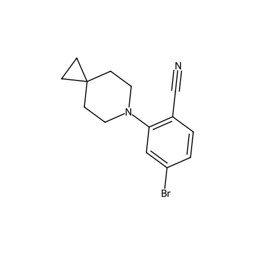 N#Cc1ccc(Br)cc1N1CCC2(CC1)CC2